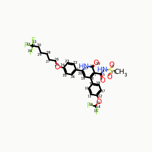 CS(=O)(=O)NC(=O)c1c(-c2ccc(OC(F)F)cc2)cc(-c2ccc(OCCCCCC(F)(F)F)cc2)[nH]c1=O